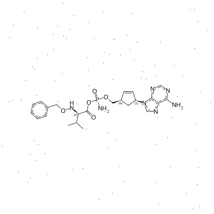 CC(C)[C@@H](NOCc1ccccc1)C(=O)OP(N)(=O)OC[C@H]1C=C[C@@H](n2cnc3c(N)ncnc32)C1